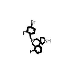 Fc1cc(Br)ccc1CN1Cc2c(F)cccc2C2(CCNC2)C1